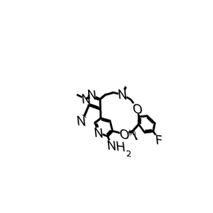 C[C@H]1Oc2cc(cnc2N)-c2c(nn(C)c2C#N)CCN(C)COc2ccc(F)cc21